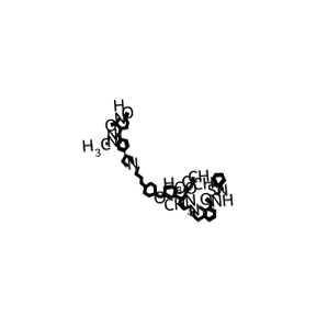 Cc1c(OC2CCC(CCCCN3CC[C@@H](c4ccc5c(C6CCC(=O)NC6=O)nn(C)c5c4)C3)CC2)cccc1-c1ccc(N2CCc3cccc(C(=O)Nc4nc5ccccc5s4)c3C2)nc1C(=O)OC(C)(C)C